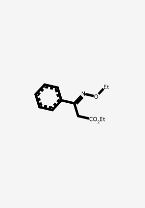 CCON=C(CC(=O)OCC)c1ccccc1